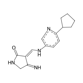 N=C1CNC(=O)/C1=C/Nc1ccc(C2CCCC2)nc1